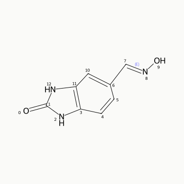 O=c1[nH]c2ccc(/C=N/O)cc2[nH]1